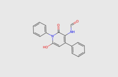 O=CNc1c(-c2ccccc2)cc(O)n(-c2ccccc2)c1=O